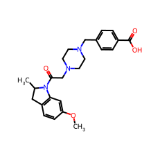 COc1ccc2c(c1)N(C(=O)CN1CCN(Cc3ccc(C(=O)O)cc3)CC1)C(C)C2